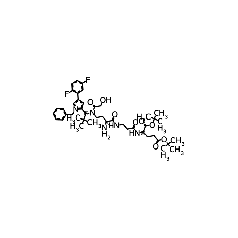 CC(C)(C)OC(=O)CC[C@@H](NC(=O)CCNC(=O)[C@@H](N)CCN(C(=O)CO)[C@@H](c1cc(-c2cc(F)ccc2F)cn1Cc1ccccc1)C(C)(C)C)C(=O)OC(C)(C)C